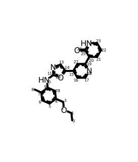 CCOCc1ccc(C)c(Nc2ncc(-c3ccnc(-c4ccc[nH]c4=O)c3)o2)c1